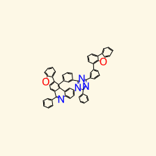 c1ccc(-c2nc(-c3cccc(-c4cccc5c4oc4ccccc45)c3)nc(-c3cccc(-c4c5c(cc6c(-c7ccccc7)nc7ccccc7c46)oc4ccccc45)c3)n2)cc1